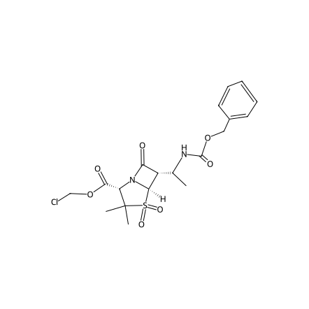 CC(NC(=O)OCc1ccccc1)[C@H]1C(=O)N2[C@@H](C(=O)OCCl)C(C)(C)S(=O)(=O)[C@H]12